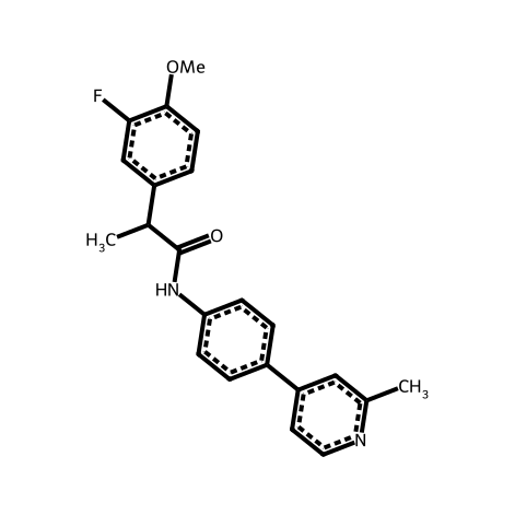 COc1ccc(C(C)C(=O)Nc2ccc(-c3ccnc(C)c3)cc2)cc1F